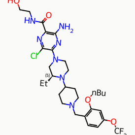 CCCCOc1cc(OC(F)(F)F)ccc1CN1CCC(N2CCN(c3nc(N)c(C(=O)NCCO)nc3Cl)C[C@@H]2CC)CC1